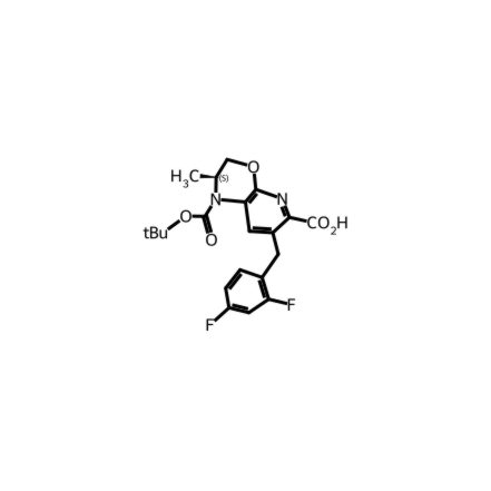 C[C@H]1COc2nc(C(=O)O)c(Cc3ccc(F)cc3F)cc2N1C(=O)OC(C)(C)C